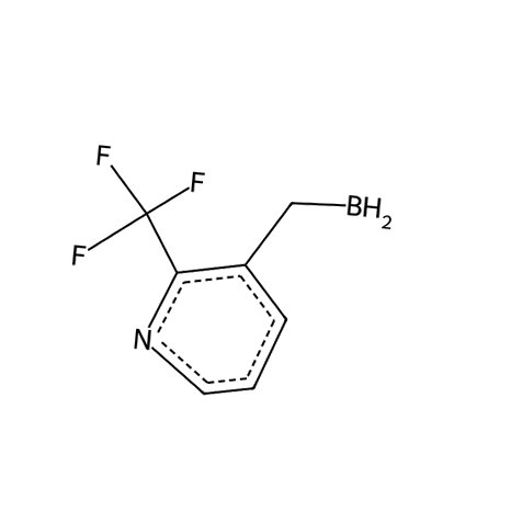 BCc1cccnc1C(F)(F)F